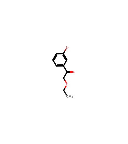 COCOCC(=O)c1cccc(Br)c1